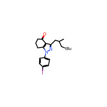 CC(Cc1nn(-c2ccc(I)cc2)c2c1C(=O)CCC2)CC(C)(C)C